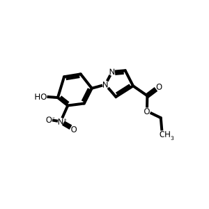 CCOC(=O)c1cnn(-c2ccc(O)c([N+](=O)[O-])c2)c1